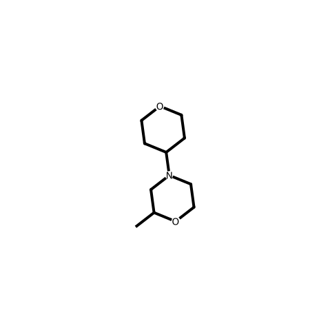 CC1CN(C2CCOCC2)CCO1